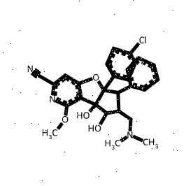 COc1nc(C#N)cc2c1C1(O)C(O)C(CN(C)C)C(c3ccccc3)C1(c1ccc(Cl)cc1)O2